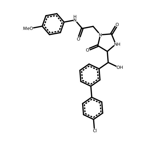 COc1ccc(NC(=O)CN2C(=O)NC(C(O)c3cccc(-c4ccc(Cl)cc4)c3)C2=O)cc1